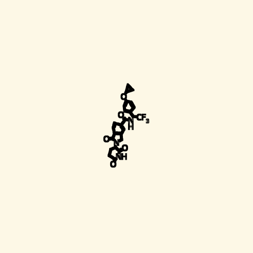 O=C1CCC(N2Cc3cc(C(=O)NC(c4ccc(OC5CC5)cc4)C(F)(F)F)ccc3C2=O)C(=O)N1